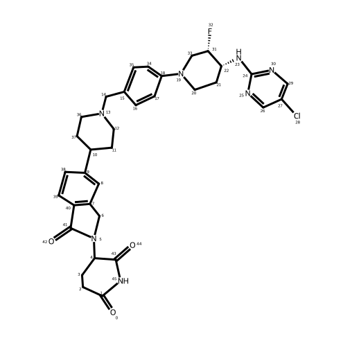 O=C1CCC(N2Cc3cc(C4CCN(Cc5ccc(N6CC[C@@H](Nc7ncc(Cl)cn7)[C@@H](F)C6)cc5)CC4)ccc3C2=O)C(=O)N1